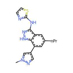 CCCc1cc(-c2cnn(C)c2)c2[nH]nc(Nc3nccs3)c2c1